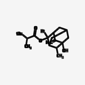 C=C1C2CC3CC(C(C)C1(O)C3)C2(CC)OC(=O)C(C)C(C)(C)C